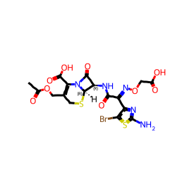 CC(=O)OCC1=C(C(=O)O)N2C(=O)[C@@H](NC(=O)C(=NOCC(=O)O)c3nc(N)sc3Br)[C@H]2SC1